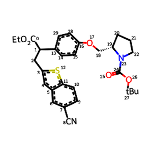 CCOC(=O)C(Cc1cc2cc(C#N)ccc2s1)c1ccc(OC[C@@H]2CCCN2C(=O)OC(C)(C)C)cc1